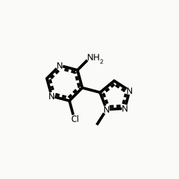 Cn1nncc1-c1c(N)ncnc1Cl